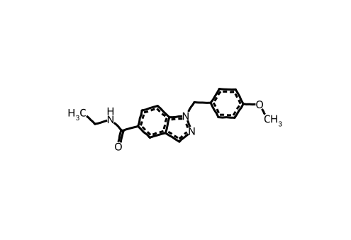 CCNC(=O)c1ccc2c(cnn2Cc2ccc(OC)cc2)c1